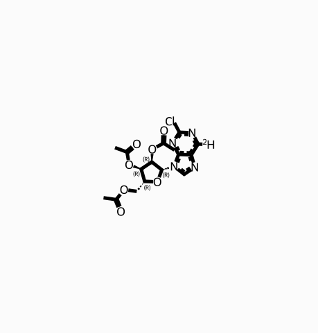 [2H]c1nc(Cl)nc2c1ncn2[C@@H]1O[C@H](COC(C)=O)[C@@H](OC(C)=O)[C@H]1OC(C)=O